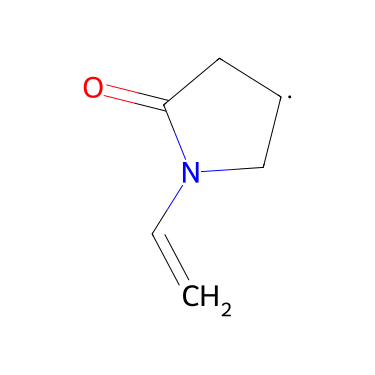 C=CN1C[CH]CC1=O